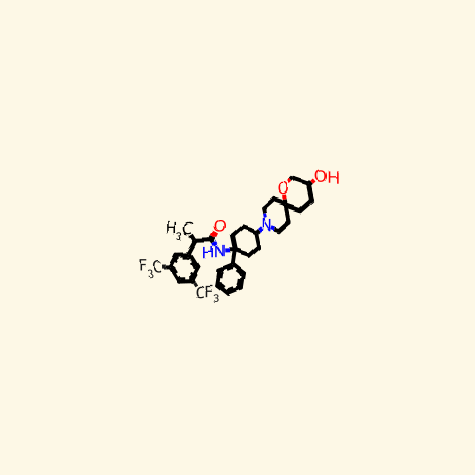 CC(C(=O)NC1(c2ccccc2)CCC(N2CCC3(CCC(O)CO3)CC2)CC1)c1cc(C(F)(F)F)cc(C(F)(F)F)c1